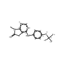 CN1C(=O)Cc2c(Nc3ccc(OC(F)(F)F)cc3)ncnc21